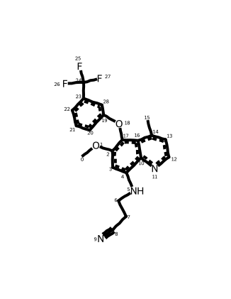 COc1cc(NCCC#N)c2nccc(C)c2c1Oc1cccc(C(F)(F)F)c1